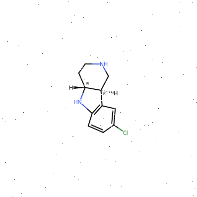 Clc1ccc2c(c1)[C@@H]1CNCC[C@H]1N2